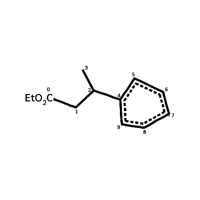 CCOC(=O)CC(C)c1cc[c]cc1